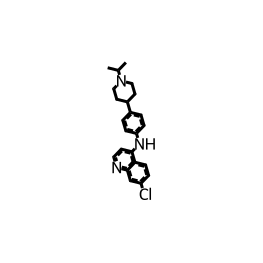 CC(C)N1CCC(c2ccc(Nc3ccnc4cc(Cl)ccc34)cc2)CC1